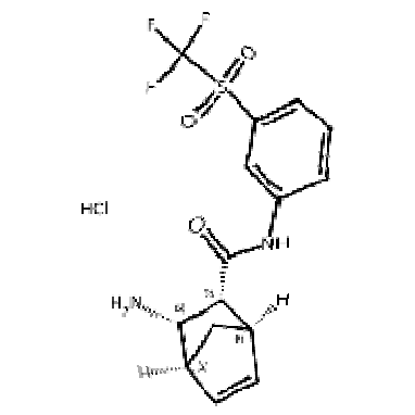 Cl.N[C@@H]1[C@H](C(=O)Nc2cccc(S(=O)(=O)C(F)(F)F)c2)[C@H]2C=C[C@@H]1C2